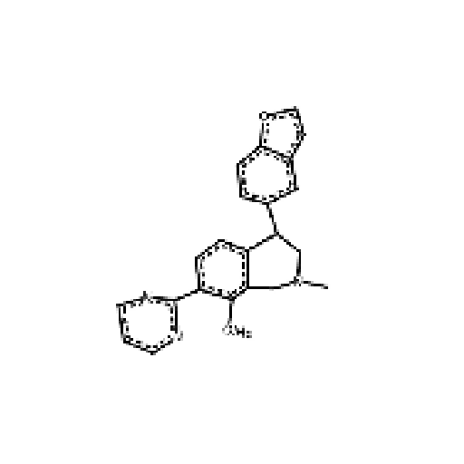 COc1c(-c2ncccn2)ccc2c1CN(C)CC2c1ccc2occc2c1